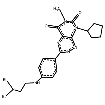 CCN(CC)CCNc1ccc(-c2nnc3c(n2)c(=O)n(C)c(=O)n3C2CCCC2)cc1